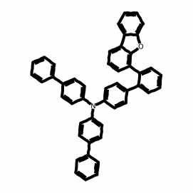 c1ccc(-c2ccc(N(c3ccc(-c4ccccc4)cc3)c3ccc(-c4ccccc4-c4cccc5c4oc4ccccc45)cc3)cc2)cc1